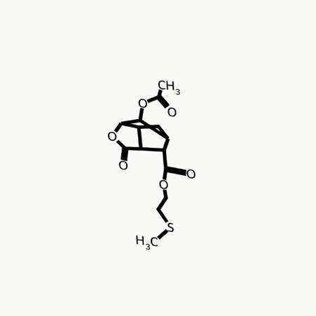 CSCCOC(=O)C1C2CC3C(OC(=O)C31)C2OC(C)=O